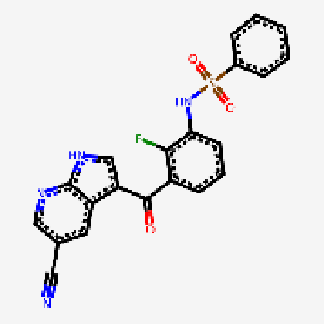 N#Cc1cnc2[nH]cc(C(=O)c3cccc(NS(=O)(=O)c4ccccc4)c3F)c2c1